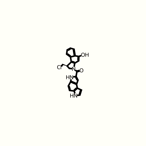 O=C(c1cc2c(ccc3[nH]ccc32)[nH]1)N1C[C@@H](CCl)c2c1cc(O)c1ccccc21